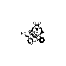 COc1ccccc1N(C[C@H]1CN(CCO)CCO1)C(=O)Cc1noc(CN2C(=O)C(=O)N(CC3CC3)C2=O)n1